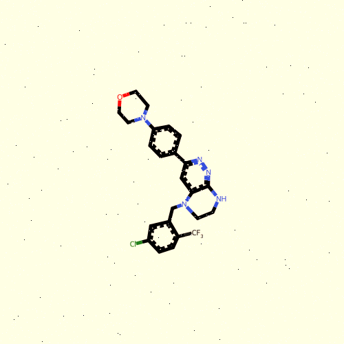 FC(F)(F)c1ccc(Cl)cc1CN1CCNc2nnc(-c3ccc(N4CCOCC4)cc3)cc21